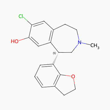 CN1CCc2cc(Cl)c(O)cc2[C@@H](c2cccc3c2OCC3)C1